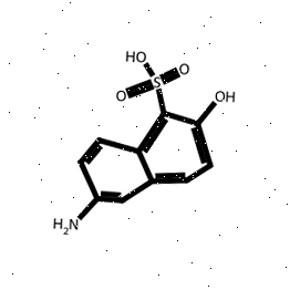 Nc1ccc2c(S(=O)(=O)O)c(O)ccc2c1